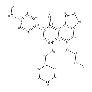 CCCOc1cc2c(c3c(=O)c(-c4ccc(OC)cc4)cn(CCN4CCOCC4)c13)OCC2